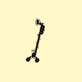 CN(CCOCCOCCOCCNCc1ccc(OCc2ccccc2)c(OCc2ccccc2)c1)c1ccc2nc3ccc(=[N+](C)COC(=O)C(F)(F)F)cc-3sc2c1